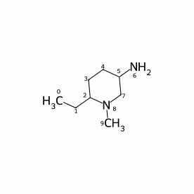 CCC1CCC(N)CN1C